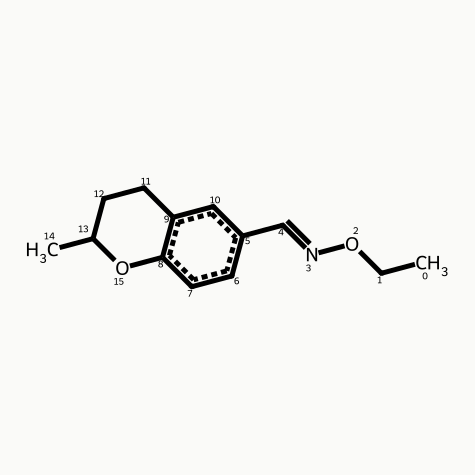 CCO/N=C/c1ccc2c(c1)CCC(C)O2